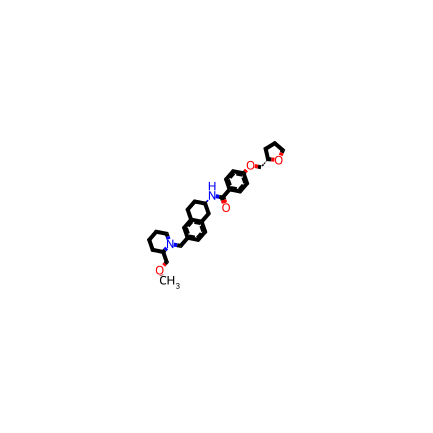 COCC1CCCCN1Cc1ccc2c(c1)CC[C@H](NC(=O)c1ccc(OC[C@@H]3CCCO3)cc1)C2